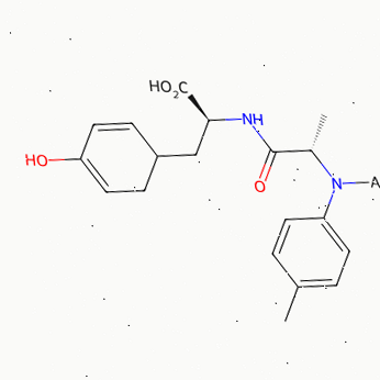 CC(=O)N(c1ccc(C)cc1)[C@@H](C)C(=O)N[C@@H](CC1C=CC(O)=CC1)C(=O)O